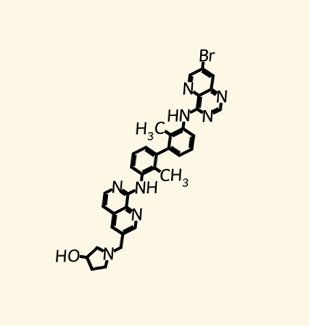 Cc1c(Nc2nccc3cc(CN4CCC(O)C4)cnc23)cccc1-c1cccc(Nc2ncnc3cc(Br)cnc23)c1C